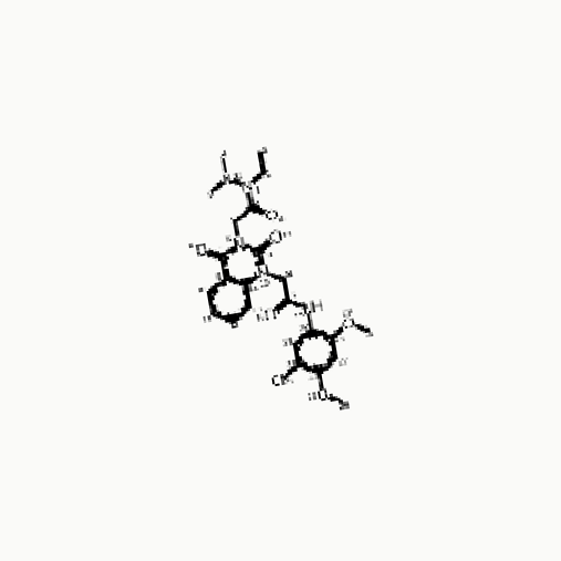 CCN(C(=O)Cn1c(=O)c2ccccc2n(CC(=O)Nc2cc(Cl)c(OC)cc2OC)c1=O)N(C)C